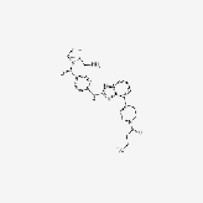 NCC12CC(CN1C(=O)c1ccc(Nc3nc4c(C5=CCN(C(=O)CCC(F)(F)F)CC5)cccn4n3)cc1)C2